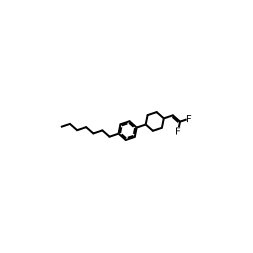 CCCCCCCc1ccc(C2CCC(C=C(F)F)CC2)cc1